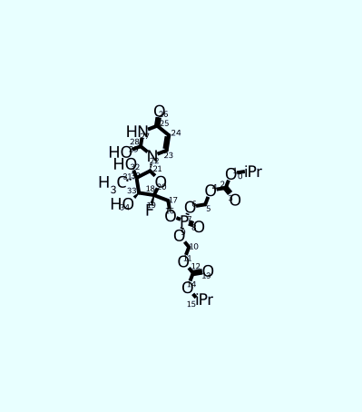 CC(C)OC(=O)OCOP(=O)(OCOC(=O)OC(C)C)OC[C@@]1(F)O[C@@H](N2C=CC(=O)NC2O)[C@](C)(O)[C@@H]1O